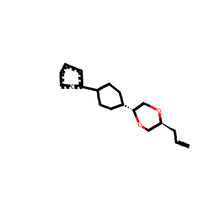 C=CC[C@H]1CO[C@H](C2CCC(c3ccccc3)CC2)CO1